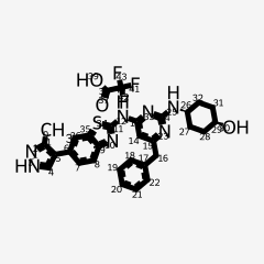 Cc1n[nH]cc1-c1ccc2nc(Nc3cc(Cc4ccccc4)nc(N[C@H]4CC[C@H](O)CC4)n3)sc2c1.O=C(O)C(F)(F)F